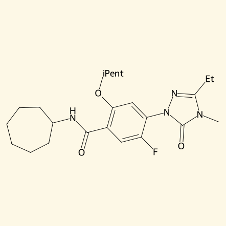 CCCC(C)Oc1cc(-n2nc(CC)n(C)c2=O)c(F)cc1C(=O)NC1CCCCCC1